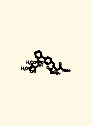 CCCCC(=O)N(Cc1ccc(-c2ccccc2S(=O)(=O)Nc2noc(C)c2C)cc1)[C@H](C(=O)NC)C(C)C